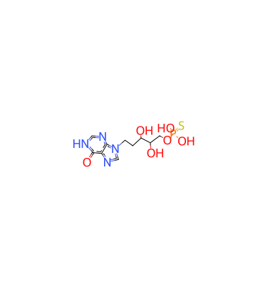 O=c1[nH]cnc2c1ncn2CCC(O)C(O)COP(O)(O)=S